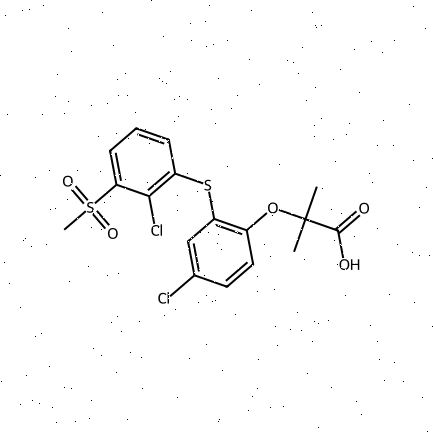 CC(C)(Oc1ccc(Cl)cc1Sc1cccc(S(C)(=O)=O)c1Cl)C(=O)O